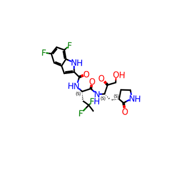 CC(F)(F)C[C@H](NC(=O)c1cc2cc(F)cc(F)c2[nH]1)C(=O)N[C@@H](C[C@@H]1CCNC1=O)C(=O)CO